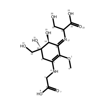 COC1=C(NCC(=O)O)C[C@@](O)(CO)[C@@H](O)/C1=N\C(CO)C(=O)O